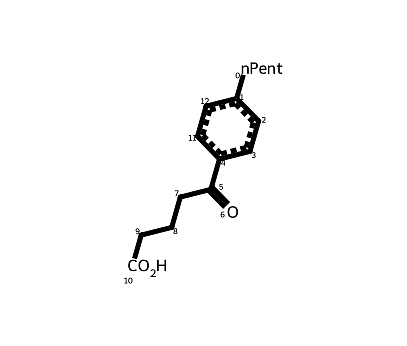 CCCCCc1ccc(C(=O)CCCC(=O)O)cc1